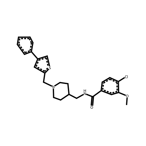 COc1cc(C(=O)NCC2CCN(Cc3cc(-c4ccccc4)cs3)CC2)ccc1Cl